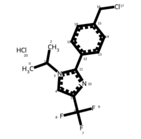 CC(C)n1cc(C(F)(F)F)nc1-c1ccc(CCl)cc1.Cl